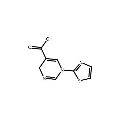 O=C(O)C1=CN(c2nccs2)C=NC1